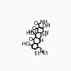 CCN(CC)Cc1ccc(O)c2c1C[C@@H]1C[C@@H]3[C@@H](N(C)C)C(O)=C(C(N)=O)C(=O)[C@]3(O)C(O)=C1C2=O